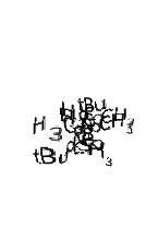 Cc1cc2c3c(c1)N(c1ccc(C(C)(C)C)cc1)c1c(ccc4c1C(C)(C)CCC4(C)C)B3c1c(sc3ccccc13)N2c1ccc(C(C)(C)C)cc1C